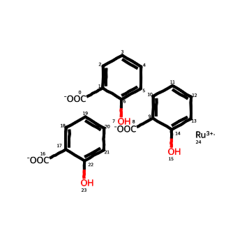 O=C([O-])c1ccccc1O.O=C([O-])c1ccccc1O.O=C([O-])c1ccccc1O.[Ru+3]